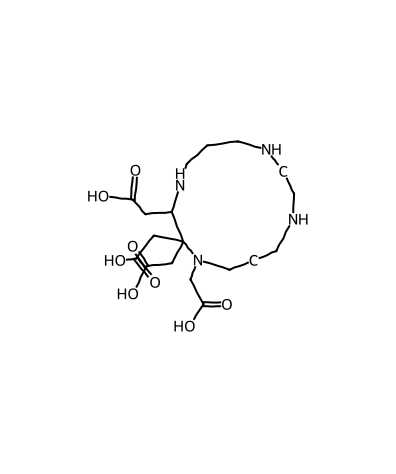 O=C(O)CC1NCCCNCCNCCCN(CC(=O)O)C1(CC(=O)O)CC(=O)O